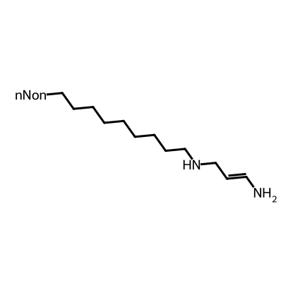 CCCCCCCCCCCCCCCCCCNCC=CN